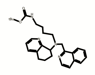 CC(C)(C)OC(=O)NCCCCN(Cc1nccc2ccccc12)C1CCCc2cccnc21